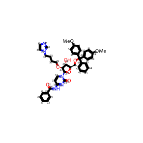 COc1ccc(C(OC[C@H]2O[C@@H](n3ccc(NC(=O)c4ccccc4)nc3=O)[C@H](OCCCCn3ccnc3)[C@@H]2O)(c2ccccc2)c2ccc(OC)cc2)cc1